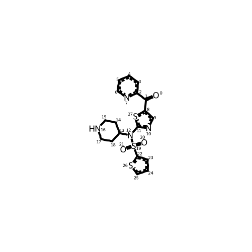 O=C(c1ccccn1)c1cnc(N(C2CCNCC2)S(=O)(=O)c2cccs2)s1